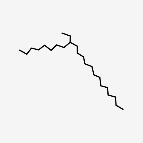 [CH2]CCCCCCCCCCCCC(CC)CCCCCCC[CH2]